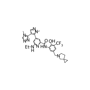 CCNc1cc(-c2c(-c3nncn3C)cnn2C)cc(C(=O)Nc2cc(CN3CCC4(CC4)C3)cc(C(F)(F)F)c2O)n1